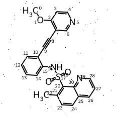 COc1ccncc1C#Cc1ccccc1NS(=O)(=O)c1c(C)ccc2cccnc12